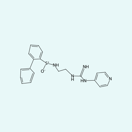 N=C(NCCN[S+]([O-])c1ccccc1-c1ccccc1)Nc1ccncc1